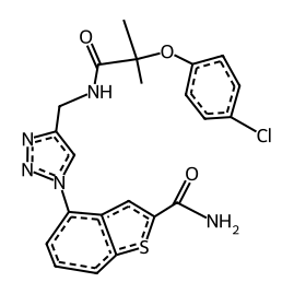 CC(C)(Oc1ccc(Cl)cc1)C(=O)NCc1cn(-c2cccc3sc(C(N)=O)cc23)nn1